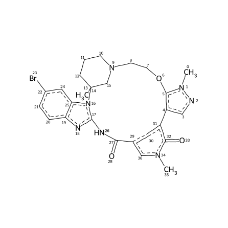 Cn1ncc2c1OCCN1CCCC(C)(C1)n1c(nc3ccc(Br)cc31)NC(=O)c1cc-2c(=O)n(C)c1